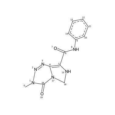 CN1N=NC2=C(C(=O)Nc3ccccc3)NCN2C1=O